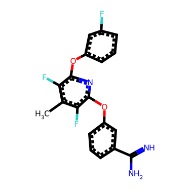 Cc1c(F)c(Oc2cccc(F)c2)nc(Oc2cccc(C(=N)N)c2)c1F